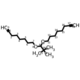 C#CCCCCCCOC(OCCCCCCC#C)C(C)(C)C